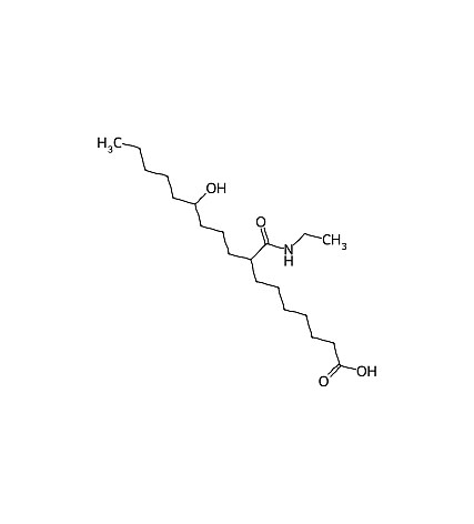 CCCCCC(O)CCCC(CCCCCCC(=O)O)C(=O)NCC